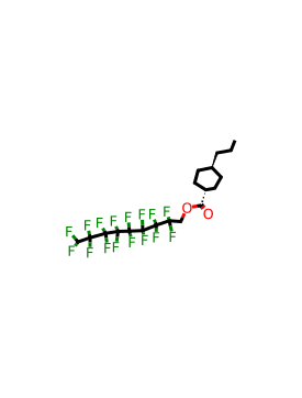 CCC[C@H]1CC[C@H](C(=O)OCC(F)(F)C(F)(F)C(F)(F)C(F)(F)C(F)(F)C(F)(F)C(F)(F)C(F)F)CC1